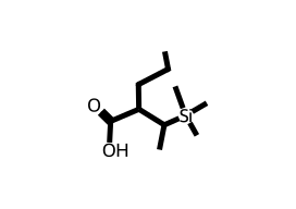 CCCC(C(=O)O)C(C)[Si](C)(C)C